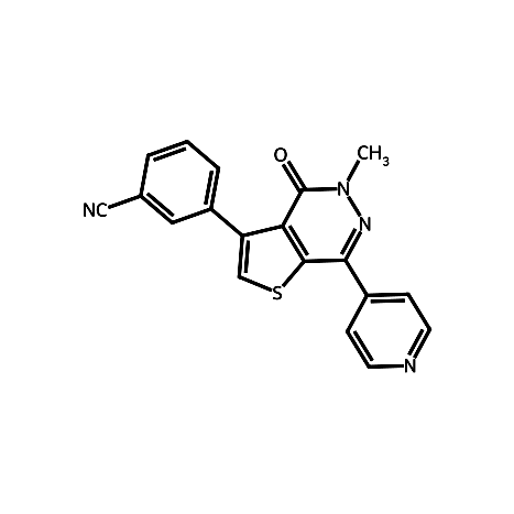 Cn1nc(-c2ccncc2)c2scc(-c3cccc(C#N)c3)c2c1=O